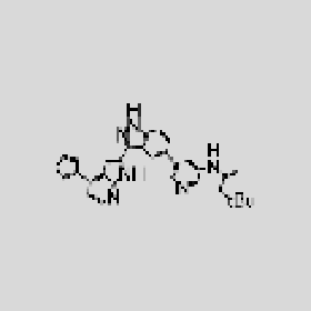 C=C(CC(C)(C)C)Nc1cncc(-c2ccc3[nH]nc(-c4cc5c(C6=CCC=C6)ccnc5[nH]4)c3c2)c1